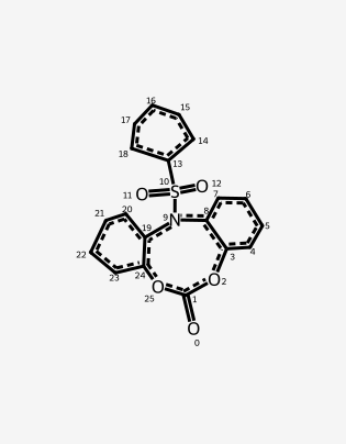 O=c1oc2ccccc2n(S(=O)(=O)c2ccccc2)c2ccccc2o1